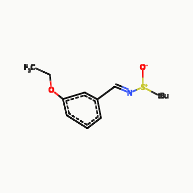 CC(C)(C)[S+]([O-])N=Cc1cccc(OCC(F)(F)F)c1